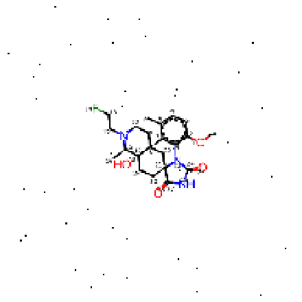 COc1ccc(C)c([C@]23CCN(CCF)[C@H](C)[C@]2(O)CC[C@@]2(C3)NC(=O)NC2=O)c1